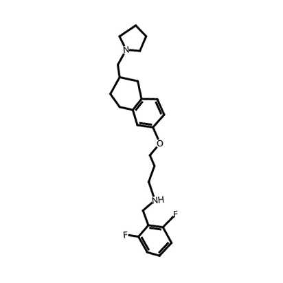 Fc1cccc(F)c1CNCCCOc1ccc2c(c1)CCC(CN1CCCC1)C2